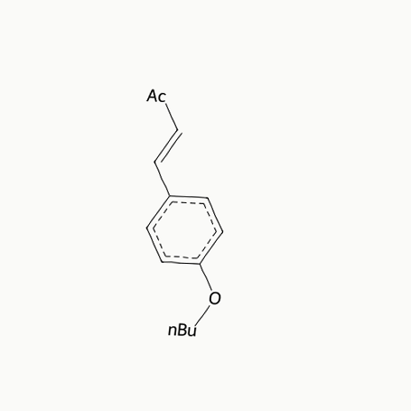 CCCCOc1ccc(/C=C/C(C)=O)cc1